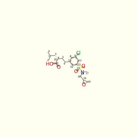 CC(C)C[C@H](CCc1cc(Cl)cc(S(=O)(=O)N(C)CC2CO2)c1)C(=O)O